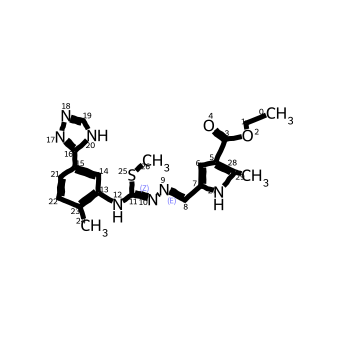 CCOC(=O)c1cc(/C=N/N=C(/Nc2cc(-c3nnc[nH]3)ccc2C)SC)[nH]c1C